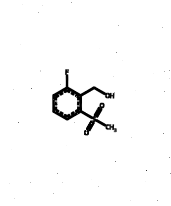 CS(=O)(=O)c1cccc(F)c1CO